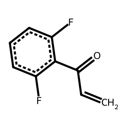 C=CC(=O)c1c(F)cccc1F